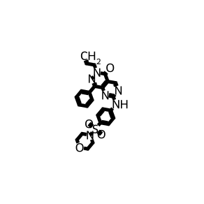 C=CCn1nc(-c2ccccc2)c2nc(Nc3ccc(S(=O)(=O)N4CCOCC4)cc3)ncc2c1=O